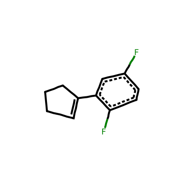 Fc1ccc(F)c(C2=CCCC2)c1